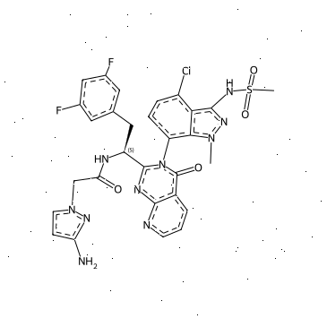 Cn1nc(NS(C)(=O)=O)c2c(Cl)ccc(-n3c([C@H](Cc4cc(F)cc(F)c4)NC(=O)Cn4ccc(N)n4)nc4ncccc4c3=O)c21